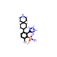 NS(=O)(=O)c1c(C(F)(F)F)ccc(C2CCC3(CCNCC3)CC2)c1-c1nnn[nH]1